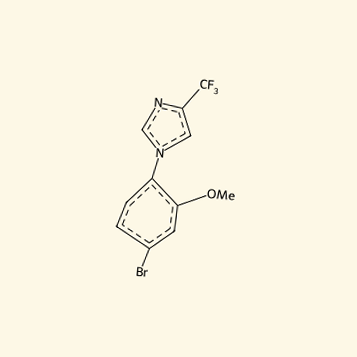 COc1cc(Br)ccc1-n1cnc(C(F)(F)F)c1